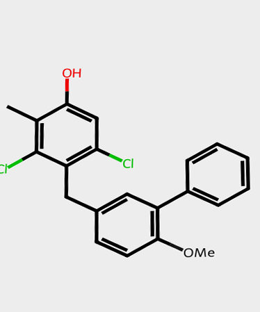 COc1ccc(Cc2c(Cl)cc(O)c(C)c2Cl)cc1-c1ccccc1